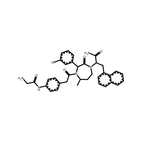 CC1CCN(C(Cc2cccc3ccccc23)C(N)=O)C(=O)C(c2cccc(Cl)c2)N1C(=O)Cc1ccc(NC(=O)CN)cc1